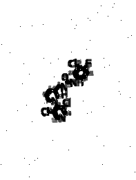 O=C(NCC1C=CCN(c2c(Cl)cncc2Cl)C1)Nc1ccc(F)c(Cl)c1